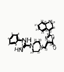 N=C(Nc1ccccc1)N1CCN(C=C2N=C(c3ccnc4ccccc34)OC2=O)CC1